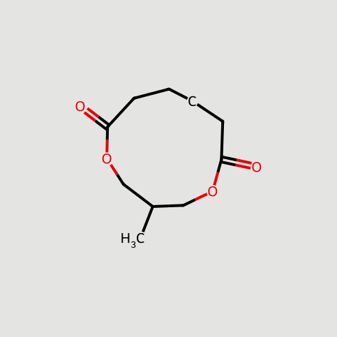 CC1COC(=O)CCCCC(=O)OC1